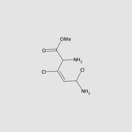 COC(=O)C(N)/C(Cl)=C\C(N)Cl